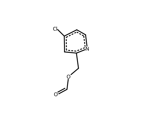 O=COCc1cc(Cl)ccn1